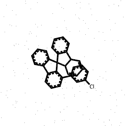 Clc1cccc(-c2cccc3c2C2(c4ccccc4-3)c3ccccc3C3C=CC=CC32)c1